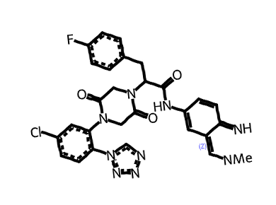 CN/C=C1/C=C(NC(=O)C(Cc2ccc(F)cc2)N2CC(=O)N(c3cc(Cl)ccc3-n3cnnn3)CC2=O)C=CC1=N